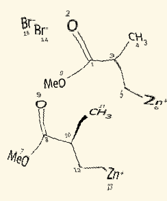 COC(=O)C(C)[CH2][Zn+].COC(=O)[C@@H](C)[CH2][Zn+].[Br-].[Br-]